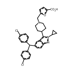 O=C(O)c1ccc(CN2CCC(c3c4cc(C(c5ccc(Cl)cc5)c5ccc(Cl)cc5)ccc4nn3C3CC3)CC2)o1